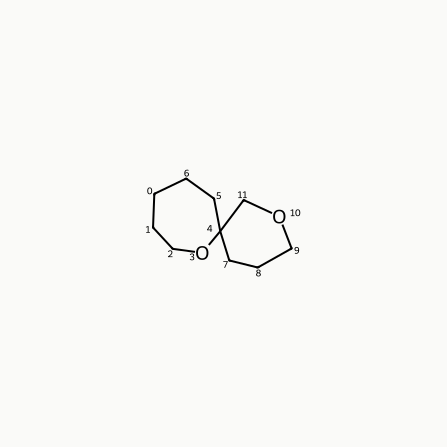 C1CCOC2(CC1)CCCOC2